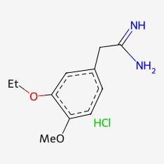 CCOc1cc(CC(=N)N)ccc1OC.Cl